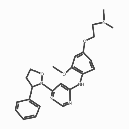 COc1cc(OCCN(C)C)ccc1Nc1cc(N2OCCC2c2ccccc2)ncn1